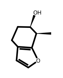 C[C@H]1c2occc2CC[C@H]1O